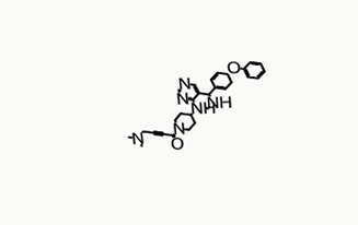 CNC(C1=CCC(Oc2ccccc2)C=C1)c1cncnc1NC1CCN(C(=O)C#CCN(C)C)CC1